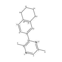 Cc1cnc(C)c(-c2ccc3c(c2)[CH]CCC3)n1